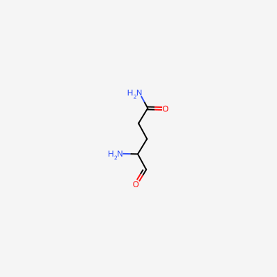 NC(=O)CCC(N)C=O